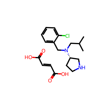 CC(C)CN(Cc1ccccc1Cl)[C@H]1CCNC1.O=C(O)C=CC(=O)O